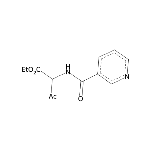 CCOC(=O)C(NC(=O)c1cccnc1)C(C)=O